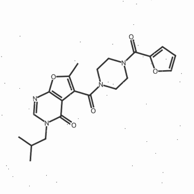 Cc1oc2ncn(CC(C)C)c(=O)c2c1C(=O)N1CCN(C(=O)c2ccco2)CC1